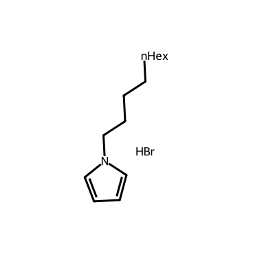 Br.CCCCCCCCCCn1cccc1